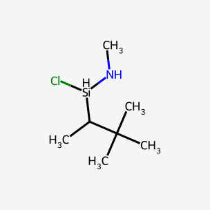 CN[SiH](Cl)C(C)C(C)(C)C